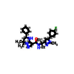 CCC(CC)(NC(=O)c1cnn2c1NC(c1ccccc1)CC2(C)C)c1cc(-c2ccc(F)cc2)n(C)n1